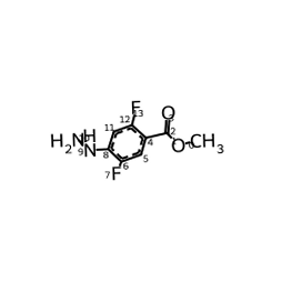 COC(=O)c1cc(F)c(NN)cc1F